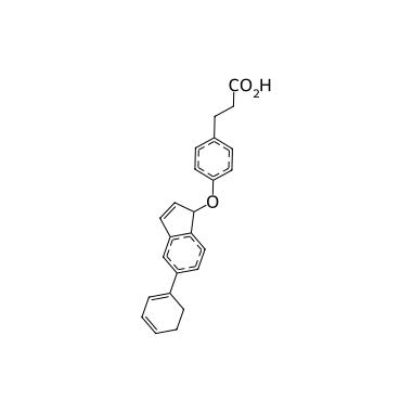 O=C(O)CCc1ccc(OC2C=Cc3cc(C4=CC=CCC4)ccc32)cc1